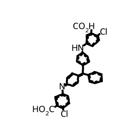 O=C(O)c1cc(N=C2C=CC(=C(c3ccccc3)c3ccc(Nc4ccc(Cl)c(C(=O)O)c4)cc3)C=C2)ccc1Cl